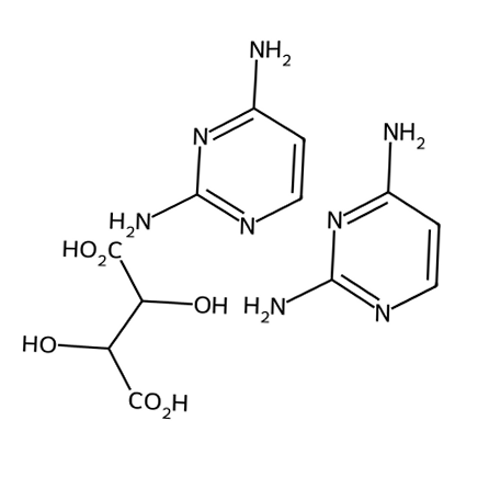 Nc1ccnc(N)n1.Nc1ccnc(N)n1.O=C(O)C(O)C(O)C(=O)O